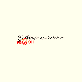 CCCCCCCCCCCCCCCCCC([Si](C)(C)C)([Si](C)(C)C)P(=O)(O)OP(=O)(O)C(CCCCCCCCCCCCCCCCC)([Si](C)(C)C)[Si](C)(C)C